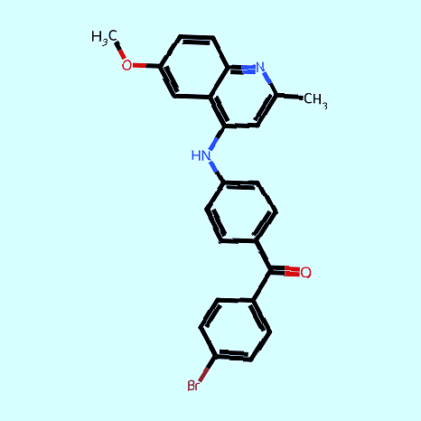 COc1ccc2nc(C)cc(Nc3ccc(C(=O)c4ccc(Br)cc4)cc3)c2c1